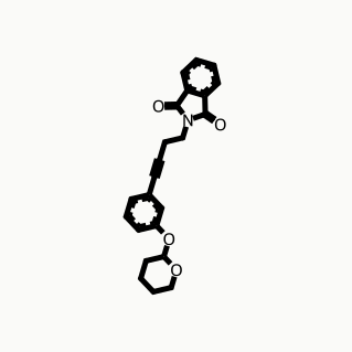 O=C1c2ccccc2C(=O)N1CCC#Cc1cccc(OC2CCCCO2)c1